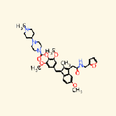 COc1ccc2c(c1)C(CC(=O)NCc1ccco1)=C(C)C2=Cc1cc(OC)c(OC(=O)N2CCN(C3CCN(C)CC3)CC2)c(OC)c1